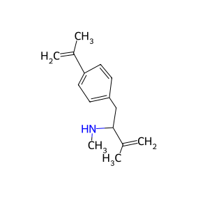 C=C(C)c1ccc(CC(NC)C(=C)C)cc1